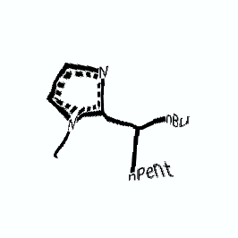 CCCCCC(CCCC)c1nccn1C